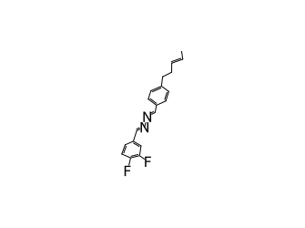 CC=CCCc1ccc(C=NN=Cc2ccc(F)c(F)c2)cc1